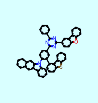 c1ccc(-c2nc(-c3ccc(-n4c5ccccc5c5cc6ccccc6cc54)c(-c4cccc5sc6ccccc6c45)c3)nc(-c3ccc4oc5ccccc5c4c3)n2)cc1